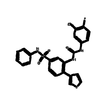 O=C(Nc1ccc(F)c(Cl)c1)Nc1cc(S(=O)(=O)Nc2ccccc2)ccc1-c1ccsc1